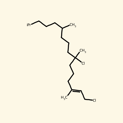 CC(=CCCl)CCCC(C)(Cl)CCCC(C)CCCC(C)C